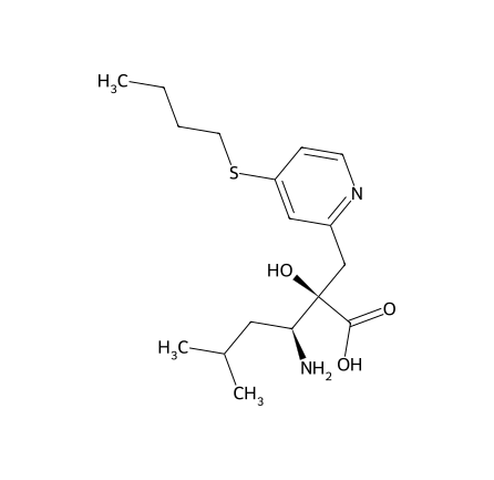 CCCCSc1ccnc(C[C@](O)(C(=O)O)[C@@H](N)CC(C)C)c1